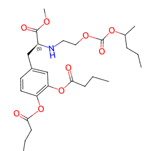 CCCC(=O)Oc1ccc(C[C@H](NCCOC(=O)OC(C)CCC)C(=O)OC)cc1OC(=O)CCC